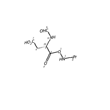 CC(C)NOC(=O)[C@H](CC(=O)O)NC=O